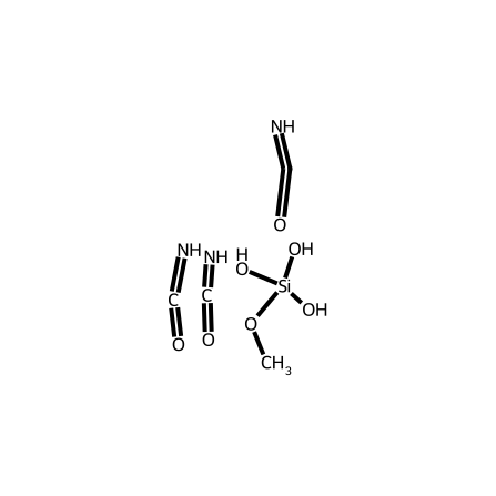 CO[Si](O)(O)O.N=C=O.N=C=O.N=C=O